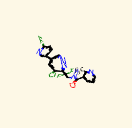 O=C(NCC(F)(F)c1ncc(-c2ccc(F)nc2)cc1Cl)c1cccnc1C(F)(F)F